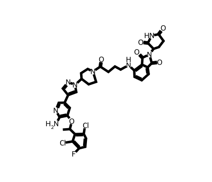 CC(Oc1cc(-c2cnn(C3CCN(C(=O)CCCNc4cccc5c4C(=O)N(C4CCC(=O)NC4=O)C5=O)CC3)c2)cnc1N)c1c(Cl)ccc(F)c1Cl